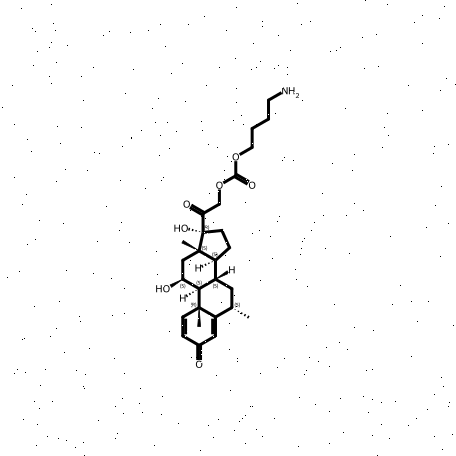 C[C@H]1C[C@@H]2[C@H]([C@@H](O)C[C@@]3(C)[C@H]2CC[C@]3(O)C(=O)COC(=O)OCCCCN)[C@@]2(C)C=CC(=O)C=C12